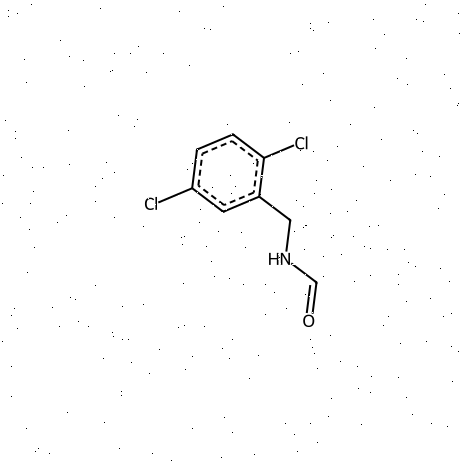 O=CNCc1cc(Cl)ccc1Cl